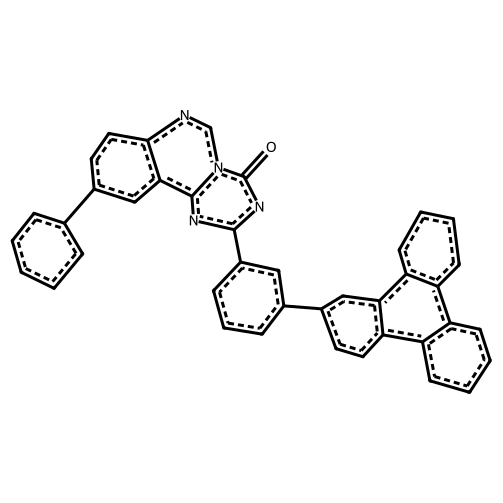 O=c1nc(-c2cccc(-c3ccc4c5ccccc5c5ccccc5c4c3)c2)nc2c3cc(-c4ccccc4)ccc3ncn12